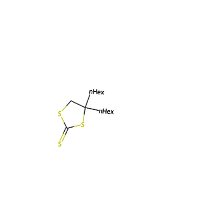 CCCCCCC1(CCCCCC)CSC(=S)S1